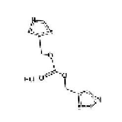 Cl.O=C(OCc1cncs1)OCc1cncs1